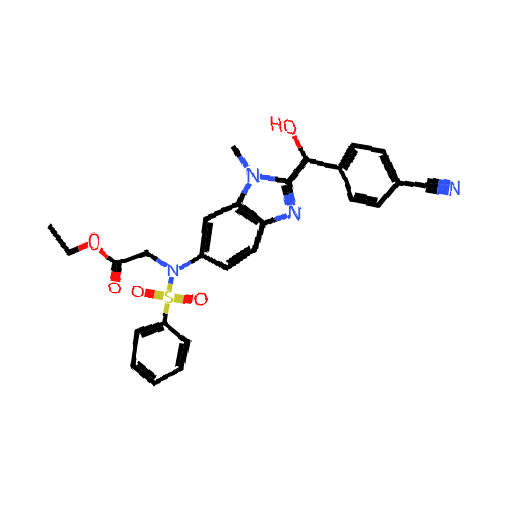 CCOC(=O)CN(c1ccc2nc(C(O)c3ccc(C#N)cc3)n(C)c2c1)S(=O)(=O)c1ccccc1